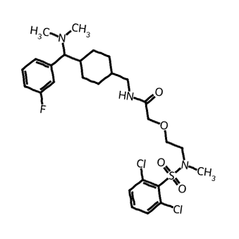 CN(C)C(c1cccc(F)c1)C1CCC(CNC(=O)COCCN(C)S(=O)(=O)c2c(Cl)cccc2Cl)CC1